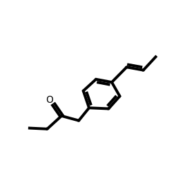 CC=Cc1ccc(CC(=O)CC)cc1